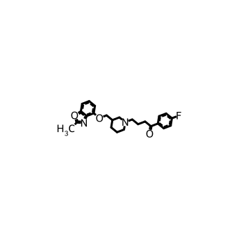 Cc1nc2c(OCC3CCCN(CCCC(=O)c4ccc(F)cc4)C3)cccc2o1